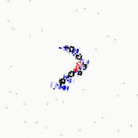 CC(=N)c1ccc2nc(-c3ccc(NC(=O)[C@@H]4CCCN4C(=O)[C@@H]4CCCN4C(=O)c4ccc(-c5nc6ccc(C(=N)N)cc6[nH]5)cc4)cc3)[nH]c2c1